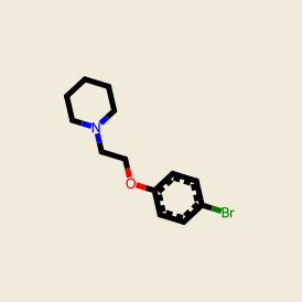 Brc1ccc(OCCN2CCCCC2)cc1